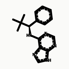 CC(C)(C)[C@H](Nc1ncnc2[nH]cnc12)c1ccccc1